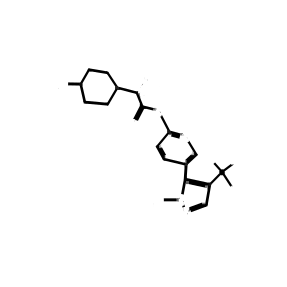 CC1CCC([C@H](N)C(=O)Nc2ccc(-c3c(C(F)(F)F)cnn3C)cn2)CC1